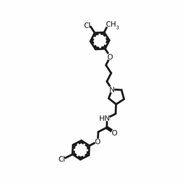 Cc1cc(OCCCN2CCC(CNC(=O)COc3ccc(Cl)cc3)C2)ccc1Cl